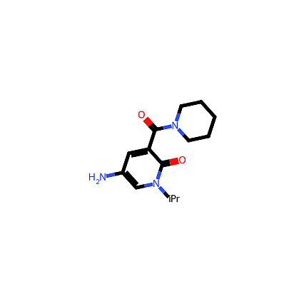 CC(C)n1cc(N)cc(C(=O)N2CCCCC2)c1=O